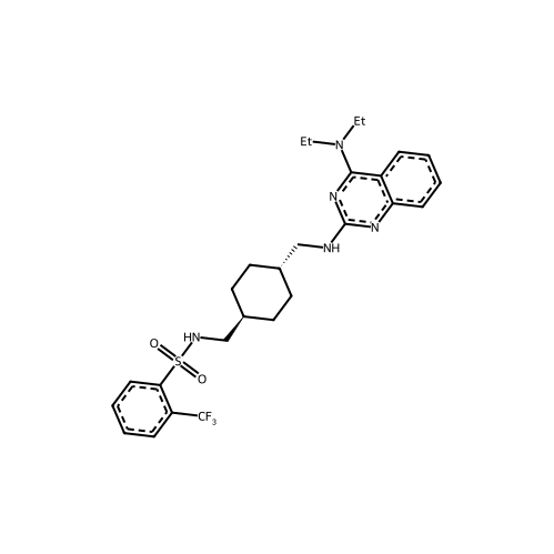 CCN(CC)c1nc(NC[C@H]2CC[C@H](CNS(=O)(=O)c3ccccc3C(F)(F)F)CC2)nc2ccccc12